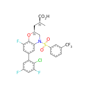 C[C@@H](C[C@H]1CN(S(=O)(=O)c2cccc(C(F)(F)F)c2)c2cc(-c3cc(F)cc(F)c3Cl)cc(F)c2O1)C(=O)O